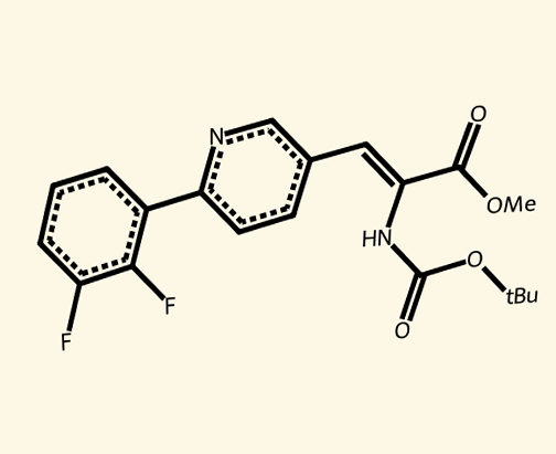 COC(=O)C(=Cc1ccc(-c2cccc(F)c2F)nc1)NC(=O)OC(C)(C)C